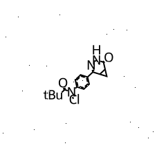 CC(C)(C)C(=O)N(Cl)c1ccc(C2=NNC(=O)C3CC23)cc1